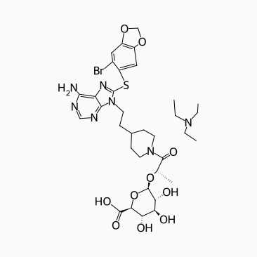 CCN(CC)CC.C[C@H](O[C@@H]1O[C@H](C(=O)O)[C@@H](O)[C@H](O)[C@H]1O)C(=O)N1CCC(CCn2c(Sc3cc4c(cc3Br)OCO4)nc3c(N)ncnc32)CC1